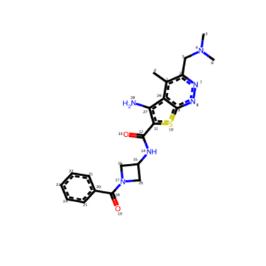 Cc1c(CN(C)C)nnc2sc(C(=O)NC3CN(C(=O)c4ccccc4)C3)c(N)c12